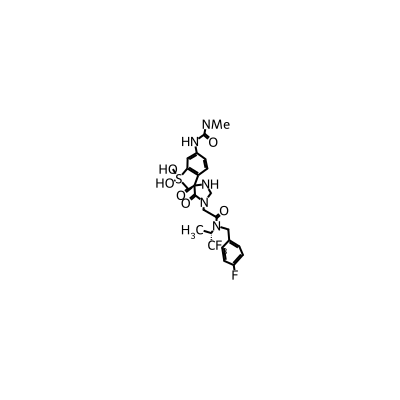 CNC(=O)Nc1ccc2c(c1)S(O)(O)C(=O)C21NCN(CC(=O)N(Cc2ccc(F)cc2)[C@@H](C)C(F)(F)F)C1=O